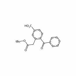 CC(C)(C)OC(=O)Cc1cc(C(=O)O)ccc1C(=O)c1ccccc1